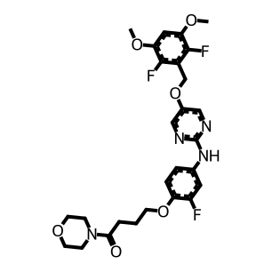 COc1cc(OC)c(F)c(COc2cnc(Nc3ccc(OCCCC(=O)N4CCOCC4)c(F)c3)nc2)c1F